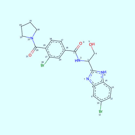 O=C(NC(CO)c1nc2cc(Br)ccc2[nH]1)c1ccc(C(=O)N2CCCC2)c(Br)c1